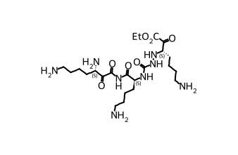 CCOC(=O)C(=O)[C@H](CCCCN)NNC(=O)N[C@@H](CCCCN)C(=O)NC(=O)C(=O)[C@@H](N)CCCCN